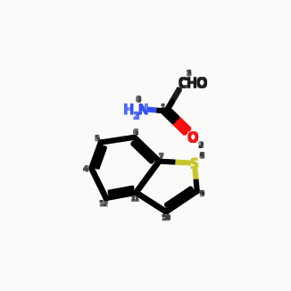 NC(=O)C=O.c1ccc2sccc2c1